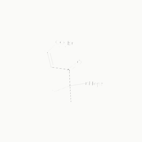 CCCCCCCC(C)(C)C(=O)/C=C\C(=O)OCC